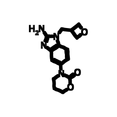 Nc1nc2cc(N3CCCOC3=O)ccc2n1CC1COC1